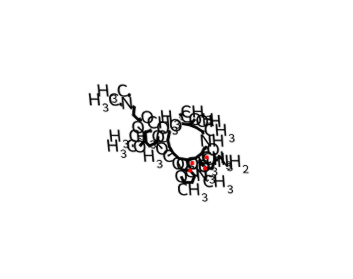 CC[C@H]1OC(=O)[C@H](C)[C@@H](O[C@H]2C[C@@](C)(OC)[C@@H](OC(=O)CCN(CC)CC)[C@H](C)O2)[C@H](C)[C@@H](O[C@@H]2O[C@H](C)C[C@H](N(C)CCCN)[C@H]2OC(C)=O)[C@](C)(OC)C[C@@H](C)C(=O)N[C@H](C)[C@@H](O)[C@]1(C)O